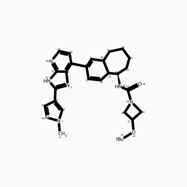 Cn1cc(-c2nc3c(C4=CC5CCCC[C@@H](NC(=O)N6CC(OC(C)(C)C)C6)C5C=C4)ccnc3[nH]2)cn1